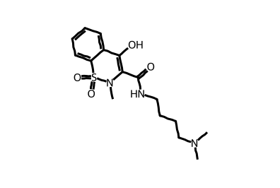 CN(C)CCCCNC(=O)C1=C(O)c2ccccc2S(=O)(=O)N1C